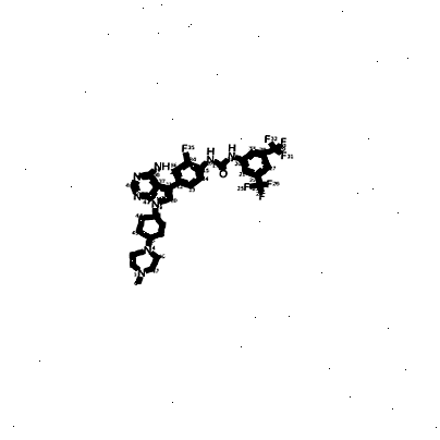 CN1CCN(C2CCC(n3cc(-c4ccc(NC(=O)Nc5cc(C(F)(F)F)cc(C(F)(F)F)c5)c(F)c4)c4c(N)ncnc43)CC2)CC1